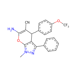 Cn1nc(-c2ccccc2)c2c1OC(N)=C(C#N)C2c1ccc(OC(F)(F)F)cc1